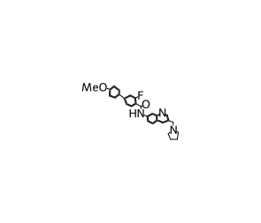 COc1ccc(-c2ccc(C(=O)Nc3ccc4cc(CN5CCCC5)cnc4c3)c(F)c2)cc1